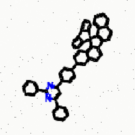 c1ccc(-c2cc(-c3ccc(-c4ccc5c6c(ccc5c4)-c4ccc5ccccc5c4C64c5ccccc5-c5ccccc54)cc3)nc(-c3ccccc3)n2)cc1